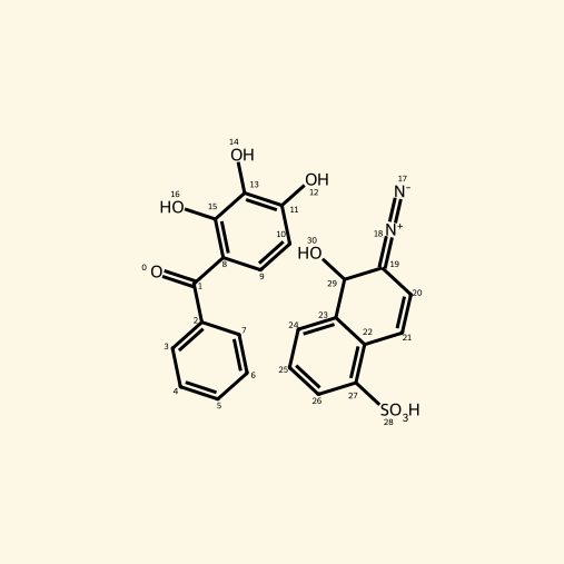 O=C(c1ccccc1)c1ccc(O)c(O)c1O.[N-]=[N+]=C1C=Cc2c(cccc2S(=O)(=O)O)C1O